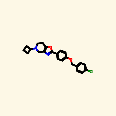 Clc1ccc(COc2ccc(-c3nc4c(o3)CCN(C3CCC3)C4)cc2)cc1